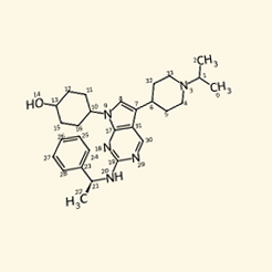 CC(C)N1CCC(c2cn(C3CCC(O)CC3)c3nc(N[C@@H](C)c4ccccc4)ncc23)CC1